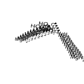 CC(=O)O.CC(=O)O.CC(=O)O.CC(=O)O.CC(=O)O.[MgH2].[MgH2].[MgH2].[MgH2].[MgH2].[MgH2].[MgH2].[MgH2].[MgH2].[MgH2].[MgH2].[MgH2].[MgH2].[MgH2].[MgH2].[MgH2].[MgH2].[MgH2].[MgH2].[MgH2].[MgH2]